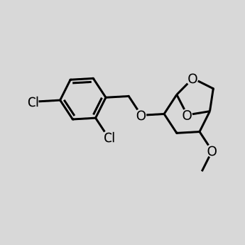 COC1CC(OCc2ccc(Cl)cc2Cl)C2OCC1O2